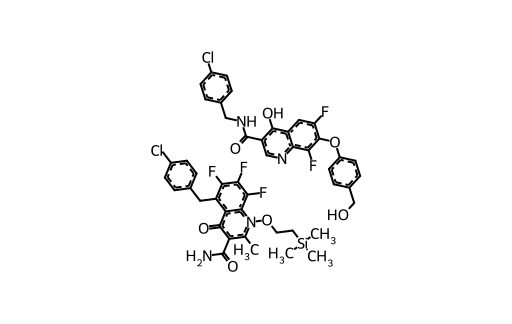 Cc1c(C(N)=O)c(=O)c2c(Cc3ccc(Cl)cc3)c(F)c(F)c(F)c2n1OCC[Si](C)(C)C.O=C(NCc1ccc(Cl)cc1)c1cnc2c(F)c(Oc3ccc(CO)cc3)c(F)cc2c1O